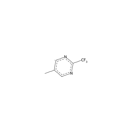 Cc1[c]nc(C(F)(F)F)nc1